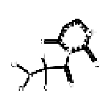 O=C(n1c(=O)cc[nH]c1=O)C(Cl)(Cl)N(Cl)Cl